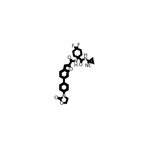 N#CC1(NC(=O)C2(NC(=O)c3cc4ccc(-c5ccc(N6CCOC6=O)cc5)cc4o3)CCC(F)(F)CC2)CC1